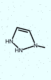 CN1[C]=CNN1